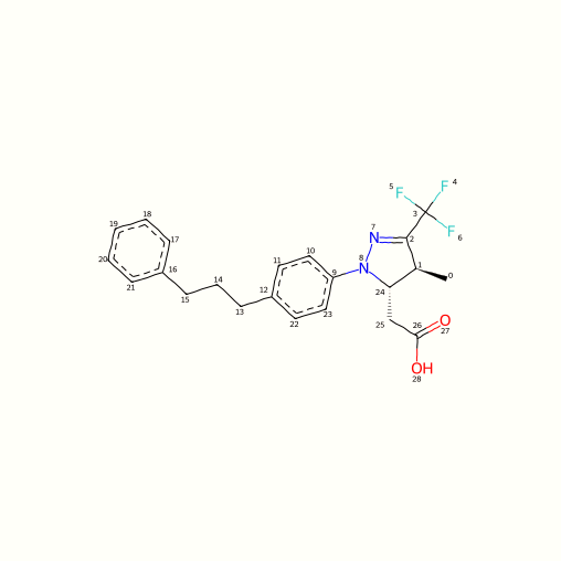 C[C@@H]1C(C(F)(F)F)=NN(c2ccc(CCCc3ccccc3)cc2)[C@H]1CC(=O)O